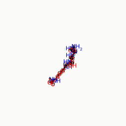 CNc1c(NCCCOCCOCCOCCCNC(=O)CC[C@H](NC(=O)c2ccc(NCc3cnc4cc(N)[nH]c(=O)c4n3)cc2)C(=O)O)c(=O)c1=O